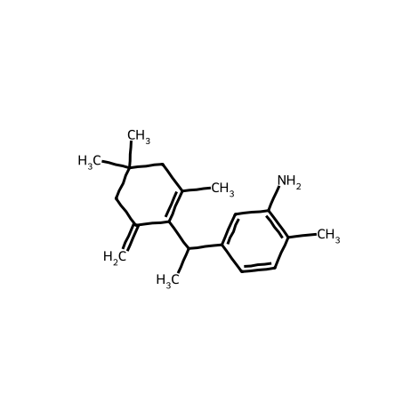 C=C1CC(C)(C)CC(C)=C1C(C)c1ccc(C)c(N)c1